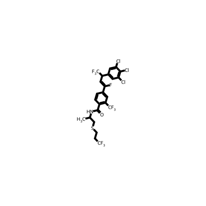 CC(CSCCC(F)(F)F)NC(=O)c1ccc(/C(F)=C/C(c2cc(Cl)c(Cl)c(Cl)c2)C(F)(F)F)cc1C(F)(F)F